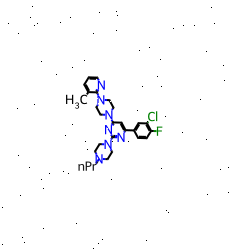 CCCN1CCN(c2nc(-c3ccc(F)c(Cl)c3)cc(N3CCN(c4ncccc4C)CC3)n2)CC1